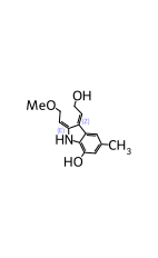 COC/C=c1/[nH]c2c(O)cc(C)cc2/c1=C/CO